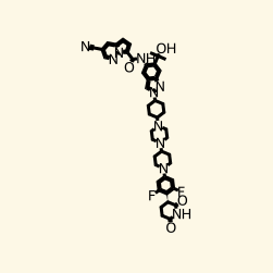 CC(C)(O)c1cc2nn(C3CCC(N4CCN(C5CCN(c6cc(F)c([C@H]7CCC(=O)NC7=O)c(F)c6)CC5)CC4)CC3)cc2cc1NC(=O)c1ccc2cc(C#N)cnn12